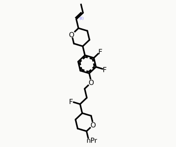 C/C=C/C1CCC(c2ccc(OCCC(F)C3CCC(CCC)OC3)c(F)c2F)CO1